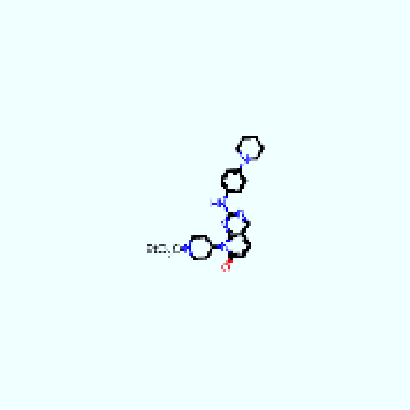 CCOC(=O)N1CCC(n2c(=O)ccc3cnc(Nc4ccc(N5CCCCC5)cc4)nc32)CC1